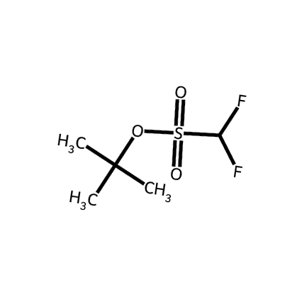 CC(C)(C)OS(=O)(=O)C(F)F